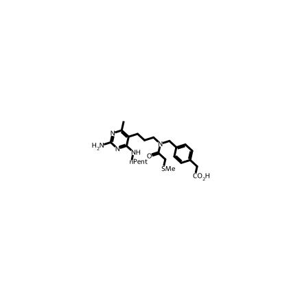 CCCCCNc1nc(N)nc(C)c1CCCN(Cc1ccc(CC(=O)O)cc1)C(=O)CSC